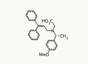 COc1ccc([C@@H](C)N(CC=C(c2ccccc2)c2ccccc2)CC(=O)O)cc1